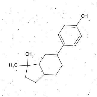 CC1(C)CCC2CCC(c3ccc(O)cc3)CC21